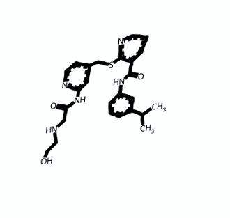 CC(C)c1cccc(NC(=O)c2cccnc2SCc2ccnc(NC(=O)CNCCO)c2)c1